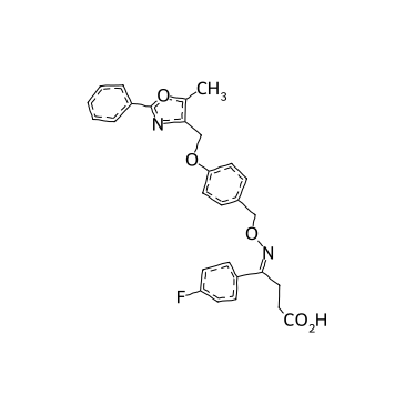 Cc1oc(-c2ccccc2)nc1COc1ccc(CON=C(CCC(=O)O)c2ccc(F)cc2)cc1